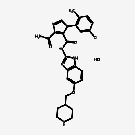 Cc1ccc(Cl)cc1-n1cnc(C(N)=O)c1C(=O)Nc1nc2cc(OCC3CCNCC3)ccc2[nH]1.Cl